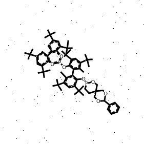 Cc1c(C(C)(C)C)cc(C(C)(C)C)c(OP2CCC3(COC(c4ccccc4)OC3)CO2)c1-c1c(C)c(C(C)(C)C)cc(C(C)(C)C)c1Op1oc2c(C(C)(C)C)cc(C(C)(C)C)cc2c2cc(C(C)(C)C)cc(C(C)(C)C)c2o1